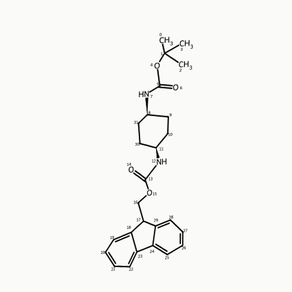 CC(C)(C)OC(=O)N[C@H]1CC[C@@H](NC(=O)OCC2c3ccccc3-c3ccccc32)CC1